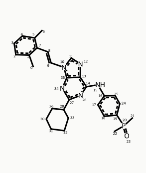 Cc1cccc(C)c1/C=C/n1cnc2c(Nc3ccc(P(C)(C)=O)cc3)nc(C3CCCCC3)nc21